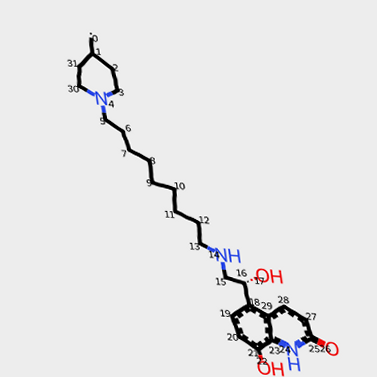 [CH2]C1CCN(CCCCCCCCCNC[C@H](O)c2ccc(O)c3[nH]c(=O)ccc23)CC1